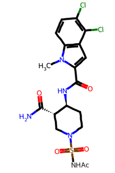 CC(=O)NS(=O)(=O)N1CC[C@H](NC(=O)c2cc3c(Cl)c(Cl)ccc3n2C)[C@@H](C(N)=O)C1